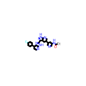 CCC(=O)Nc1cncc(-c2cnc3[nH]nc(-c4nc5c(-c6ccc(F)cc6)ccnc5[nH]4)c3c2)c1